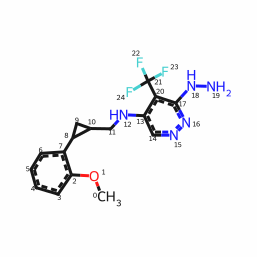 COc1ccccc1C1CC1CNc1cnnc(NN)c1C(F)(F)F